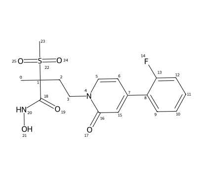 CC(CCn1ccc(-c2ccccc2F)cc1=O)(C(=O)NO)S(C)(=O)=O